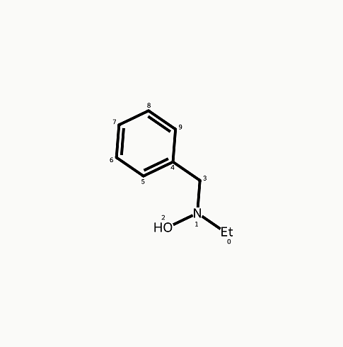 CCN(O)Cc1ccccc1